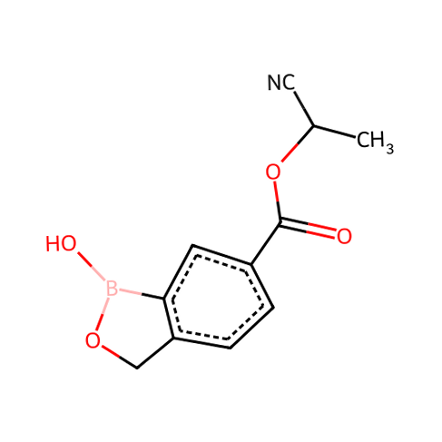 CC(C#N)OC(=O)c1ccc2c(c1)B(O)OC2